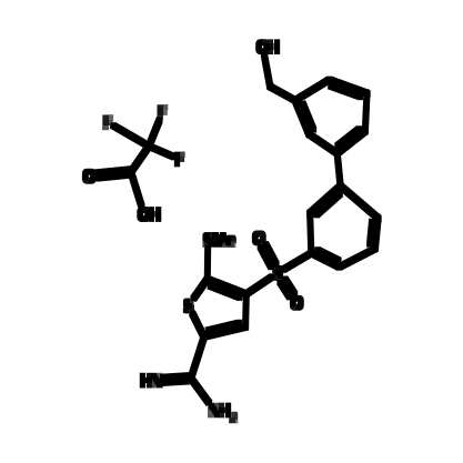 CSc1sc(C(=N)N)cc1S(=O)(=O)c1cccc(-c2cccc(CO)c2)c1.O=C(O)C(F)(F)F